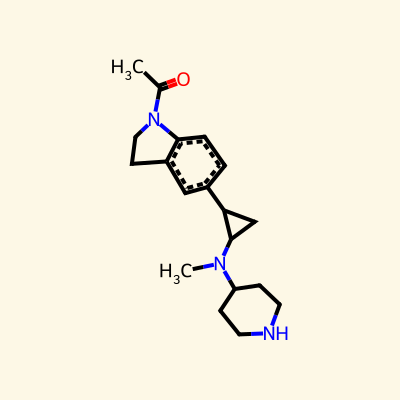 CC(=O)N1CCc2cc(C3CC3N(C)C3CCNCC3)ccc21